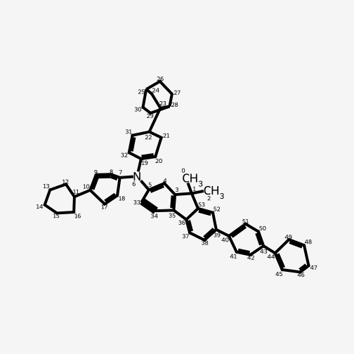 CC1(C)c2cc(N(C3=C=C=C(C4CCCCC4)C=C3)C3=CCC(C4CC5CCC4CC5)C=C3)c#cc2-c2ccc(-c3ccc(-c4ccccc4)cc3)cc21